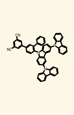 N#Cc1cc(C#N)cc(-c2ccc(-n3c4ccc(-n5c6ccccc6c6ccccc65)cc4c4cc(-n5c6ccccc6c6ccccc65)ccc43)c(-c3ccccc3)c2)c1